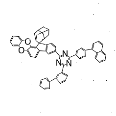 c1ccc(-c2cccc(-c3nc(-c4ccc(-c5cccc6ccccc56)cc4)nc(-c4ccc5c(c4)-c4ccc6c(c4C54C5CC7CC(C5)CC4C7)Oc4ccccc4O6)n3)c2)cc1